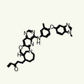 C=CC(=O)CCC1CCCN2C[C@H]1COc1cc3ncnc(Nc4ccc(Oc5ccc6c(c5)ncn6C)c(C)c4)c3nc12